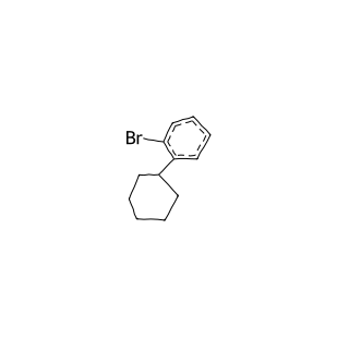 Brc1ccccc1C1CCCCC1